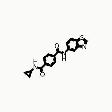 O=C(Nc1ccc2scnc2c1)c1ccc(C(=O)NC2CC2)cc1